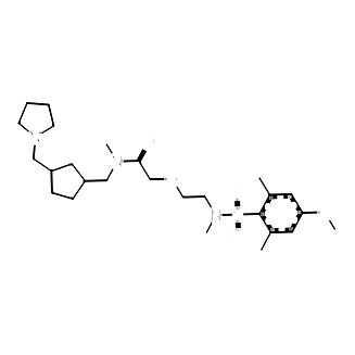 COc1cc(C)c(S(=O)(=O)N(C)CCOCC(=O)N(C)CC2CCC(CN3CCCC3)C2)c(C)c1